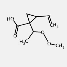 C=CC1CC1(C(=O)O)C(C)OOC